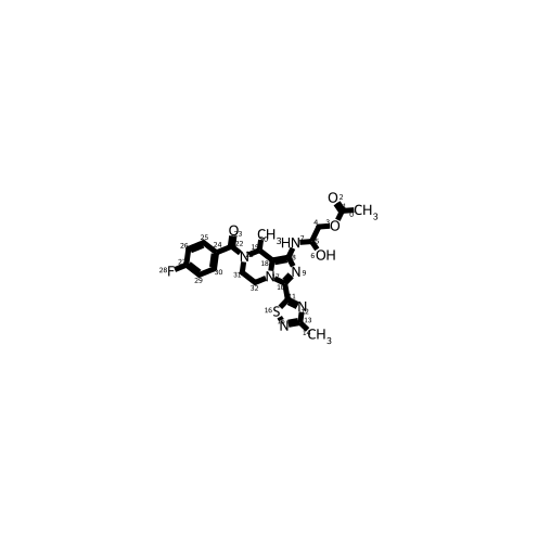 CC(=O)OCC(O)Nc1nc(-c2nc(C)ns2)n2c1C(C)N(C(=O)c1ccc(F)cc1)CC2